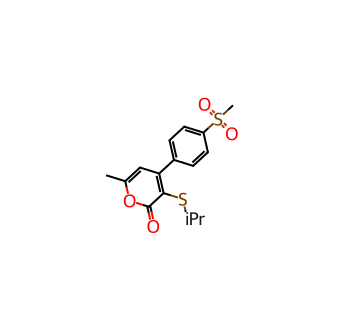 Cc1cc(-c2ccc(S(C)(=O)=O)cc2)c(SC(C)C)c(=O)o1